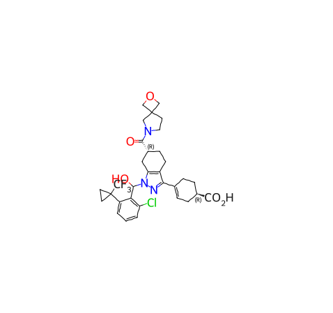 O=C(O)[C@H]1CC=C(c2nn(C(O)c3c(Cl)cccc3C3(C(F)(F)F)CC3)c3c2CC[C@@H](C(=O)N2CCC4(COC4)C2)C3)CC1